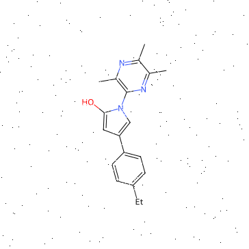 CCc1ccc(-c2cc(O)n(-c3nc(C)c(C)nc3C)c2)cc1